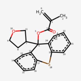 C=C(C)C(=O)OC1(C2CCOC2)c2ccccc2Sc2ccccc21